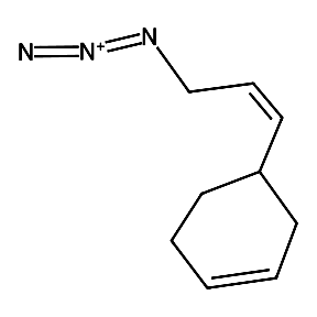 [N-]=[N+]=NC/C=C\C1CC=CCC1